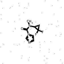 CN(C(=O)n1ccnc1)C1CC1(F)F